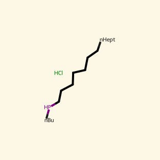 CCCCCCCCCCCCCCPCCCC.Cl